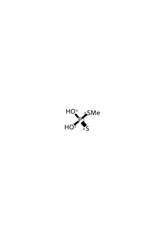 CSP(O)(O)=S